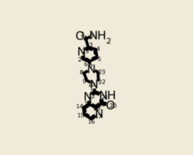 NC(=O)c1ccc(N2CCN(c3nc4cccnc4c(=O)[nH]3)CC2)cn1